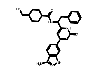 NCC1CCC(C(=O)NC(Cc2ccccc2)c2cc(-c3ccc4c(N)n[nH]c4c3)cc(=O)[nH]2)CC1